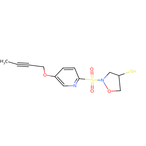 CC#CCOc1ccc(S(=O)(=O)N2CC(S)CO2)nc1